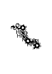 CCOC(=O)Cc1ccccc1NC(=O)Nc1nc2ccc(C(=O)Nc3c(C)cccc3Cl)cc2s1